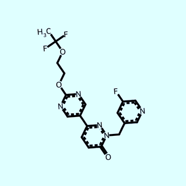 CC(F)(F)OCCOc1ncc(-c2ccc(=O)n(Cc3cncc(F)c3)n2)cn1